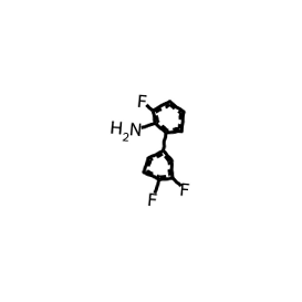 Nc1c(F)cccc1-c1ccc(F)c(F)c1